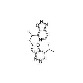 CC(C)c1cnnc2cc(CC(C)c3nccc4nnoc34)oc12